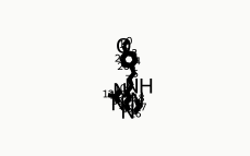 COc1ccc(CCNc2nc(C)nc3nccnc23)cc1